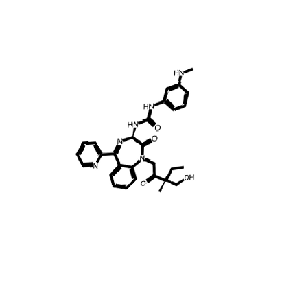 CC[C@](C)(CO)C(=O)CN1C(=O)[C@H](NC(=O)Nc2cccc(NC)c2)N=C(c2ccccn2)c2ccccc21